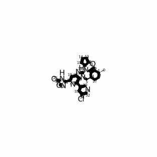 C[C@H]1CC[C@H](Cn2c(N3C=COC4=CC=C[C@H]43)nc3cc(-c4noc(=O)[nH]4)nc(-c4cncc(Cl)c4)c32)CC1